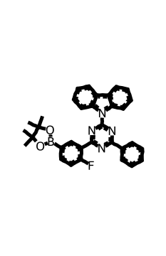 CC1(C)OB(c2ccc(F)c(-c3nc(-c4ccccc4)nc(-n4c5ccccc5c5ccccc54)n3)c2)OC1(C)C